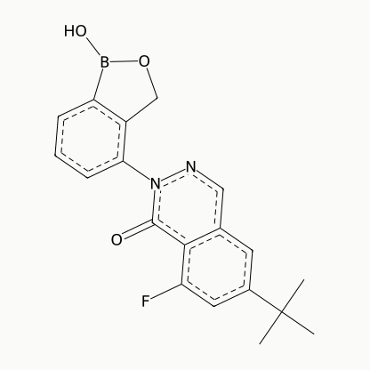 CC(C)(C)c1cc(F)c2c(=O)n(-c3cccc4c3COB4O)ncc2c1